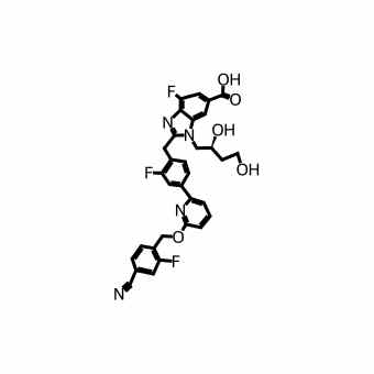 N#Cc1ccc(COc2cccc(-c3ccc(Cc4nc5c(F)cc(C(=O)O)cc5n4C[C@@H](O)CCO)c(F)c3)n2)c(F)c1